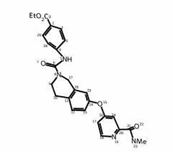 CCOC(=O)c1ccc(NC(=O)N2CCc3ccc(Oc4ccnc(C(=O)NC)c4)cc3C2)cc1